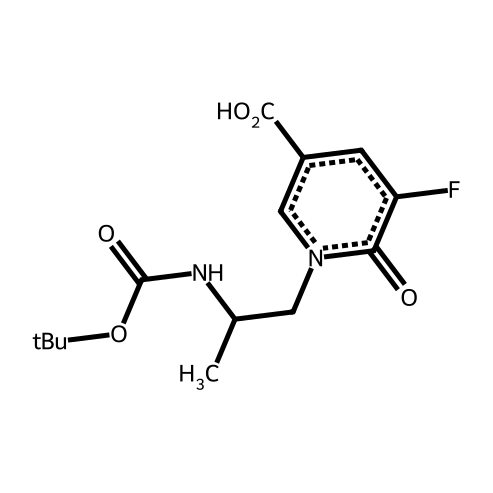 CC(Cn1cc(C(=O)O)cc(F)c1=O)NC(=O)OC(C)(C)C